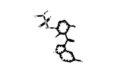 CN(C)S(=O)(=O)Nc1ccc(F)c(C(=O)c2c[nH]c3ncc(Br)cc23)c1F